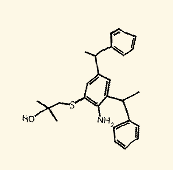 CC(c1ccccc1)c1cc(SCC(C)(C)O)c(N)c(C(C)c2ccccc2)c1